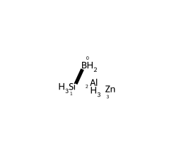 B[SiH3].[AlH3].[Zn]